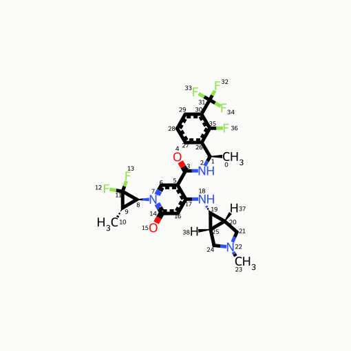 C[C@@H](NC(=O)c1cn([C@H]2[C@H](C)C2(F)F)c(=O)cc1N[C@@H]1[C@@H]2CN(C)C[C@@H]21)c1cccc(C(F)(F)F)c1F